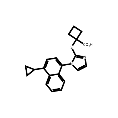 O=C(O)C1(Sc2nccn2-c2ccc(C3CC3)c3ccccc23)CCC1